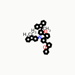 CC1(C)c2ccccc2-c2ccc(N(c3ccc(-c4cccc5c4oc4ccccc45)cc3)c3ccc(C4(C)c5ccccc5-c5ccccc54)c4oc5ccccc5c34)cc21